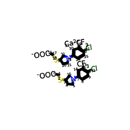 O=C([O-])CSC1CCN(c2ccc(Cl)c(C(F)(F)F)c2)C1.O=C([O-])CSC1CCN(c2ccc(Cl)c(C(F)(F)F)c2)C1.[Ca+2]